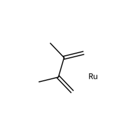 C=C(C)C(=C)C.[Ru]